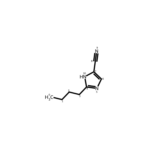 CCCCc1ncc(C#N)[nH]1